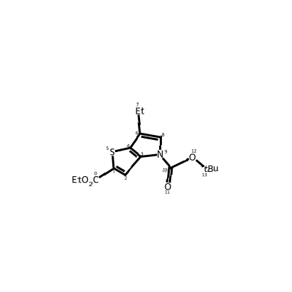 CCOC(=O)c1cc2c(s1)c(CC)cn2C(=O)OC(C)(C)C